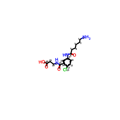 NCCCCCC(=O)Nc1ccc(Cl)c(C(=O)NCCC(=O)O)c1